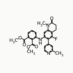 COC(=O)c1cccc(Nc2cc3c(c(F)c2-c2ccnc(C)c2)CCC(=O)N3C)c1C(=O)OC